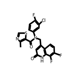 Cc1ncsc1C(=O)N(Cc1cc(=O)[nH]c2c(F)c(F)ccc12)c1ccc(F)c(Cl)c1